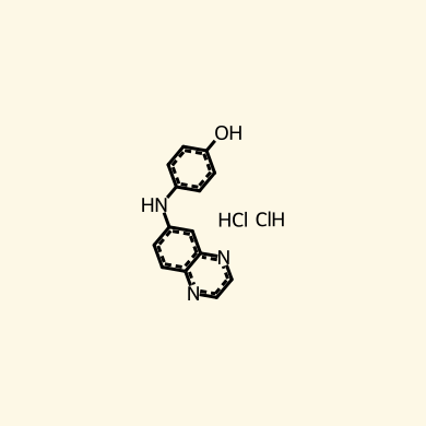 Cl.Cl.Oc1ccc(Nc2ccc3nccnc3c2)cc1